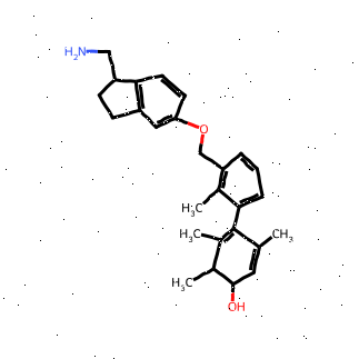 CC1=CC(O)C(C)C(C)=C1c1cccc(COc2ccc3c(c2)CCC3CN)c1C